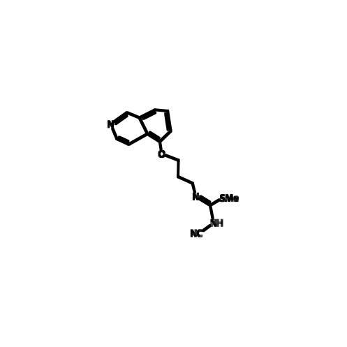 CS/C(=N\CCCOc1cccc2cnccc12)NC#N